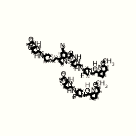 COc1ccc2cccc(C(O)CN3CC[C@@H](NCc4ccc5c(n4)NC(=O)CS5)[C@@H](F)C3)c2n1.COc1ccc2cccc(C(O)CN3CC[C@H](NCc4ccc5c(n4)NC(=O)CS5)[C@H](F)C3)c2n1.N#Cc1ccc2nccc(CCN3CCC(NCc4ccc5c(n4)NC(=O)CO5)CC3)c2c1